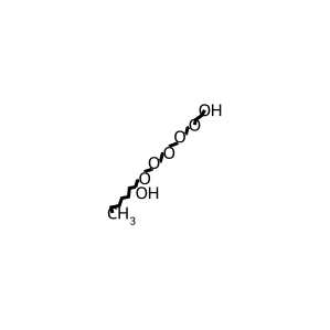 CCCCCCC(O)COCCOCCOCCOCCOCCO